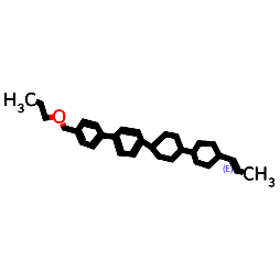 C/C=C/C1CCC(C2CCC(c3ccc(-c4ccc(COCCC)cc4)cc3)CC2)CC1